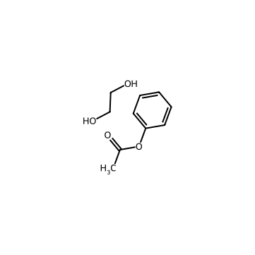 CC(=O)Oc1ccccc1.OCCO